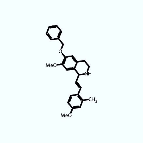 COc1ccc(C=CC2NCCc3cc(OCc4ccccc4)c(OC)cc32)c(C)c1